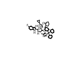 O=C(N[C@@H](Cc1cn(C(c2ccccc2)(c2ccccc2)c2ccccc2)cn1)C(=O)N[C@@H](CC1CCCCC1)[C@@H](O)[C@@H](O)C1CC1)c1cc2cc(F)ccc2[nH]1